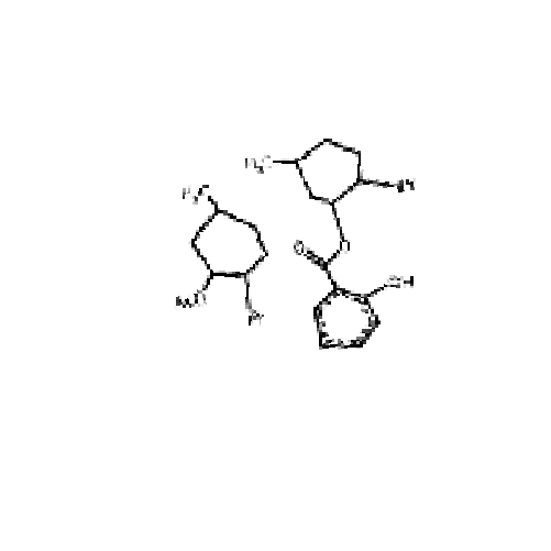 CC(=O)OC1CC(C)CCC1C(C)C.CC1CCC(C(C)C)C(OC(=O)c2ccccc2O)C1